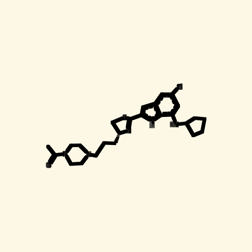 CC(=O)N1CCN(CCC[C@@H]2CSC(c3cc4cc(Cl)cc(NC5CCCC5)c4[nH]3)=N2)CC1